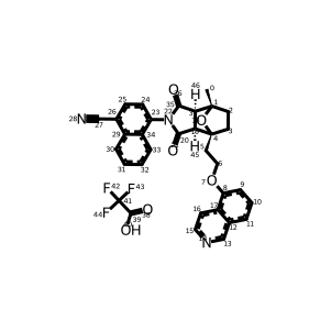 C[C@@]12CC[C@@](CCOc3cccc4cnccc34)(O1)[C@H]1C(=O)N(c3ccc(C#N)c4ccccc34)C(=O)[C@H]12.O=C(O)C(F)(F)F